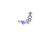 Cn1ccc(CNC(=O)c2ccc3c(c2)CCN(C2=CC=C2)CC3)n1